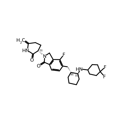 C=C1CC[C@H](N2Cc3c(ccc(C[C@H]4CCCC[C@@H]4NC4CCC(F)(F)CC4)c3F)C2=O)C(=O)N1